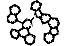 c1ccc2c(-c3nc(-n4c5ccccc5c5cc6ccc7sc8ccccc8c7c6cc54)nc4c5ccccc5c5ccccc5c34)cccc2c1